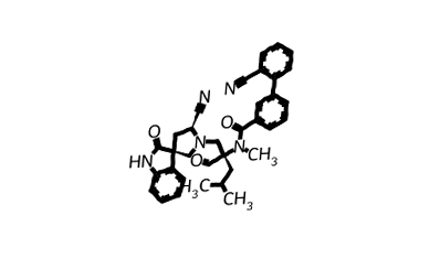 CC(C)C[C@@](C=O)(CN1C[C@]2(C[C@H]1C#N)C(=O)Nc1ccccc12)N(C)C(=O)c1cccc(-c2ccccc2C#N)c1